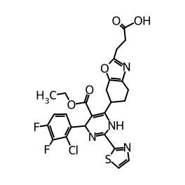 CCOC(=O)C1=C(C2CCc3nc(CCC(=O)O)oc3C2)NC(c2nccs2)=NC1c1ccc(F)c(F)c1Cl